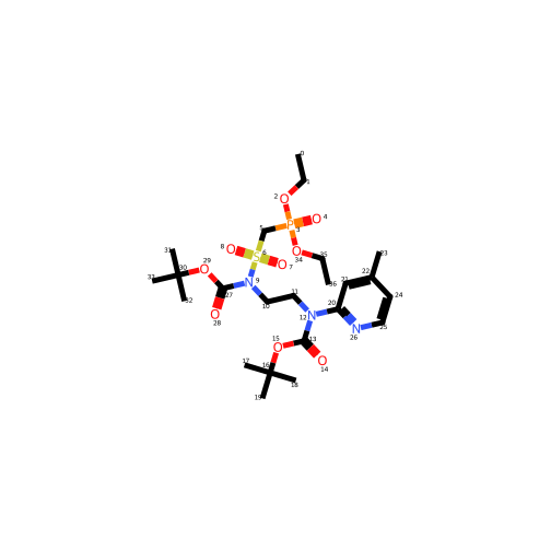 CCOP(=O)(CS(=O)(=O)N(CCN(C(=O)OC(C)(C)C)c1cc(C)ccn1)C(=O)OC(C)(C)C)OCC